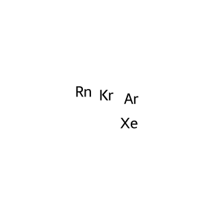 [Ar].[Kr].[Rn].[Xe]